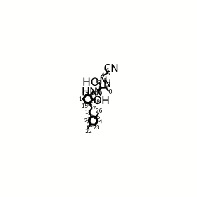 CC1=NN(CCC#N)C(O)/C1=N\Nc1cccc(CCc2cc(C)ccc2C)c1O